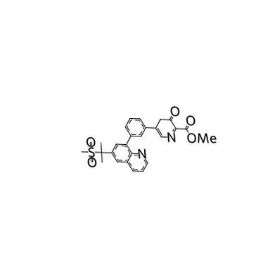 COC(=O)C1=NC=C(c2cccc(-c3cc(C(C)(C)S(C)(=O)=O)cc4cccnc34)c2)CC1=O